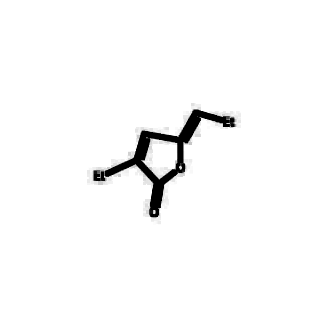 CCC=C1C=C(CC)C(=O)O1